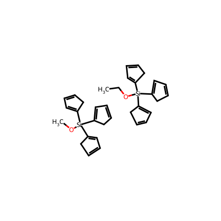 CCO[Si](C1=CC=CC1)(C1=CC=CC1)C1=CC=CC1.CO[Si](C1=CC=CC1)(C1=CC=CC1)C1=CC=CC1